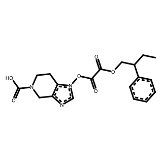 CCC(COC(=O)C(=O)On1cnc2c1CCN(C(=O)O)C2)c1ccccc1